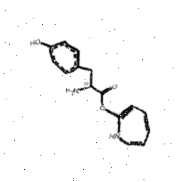 N[C@@H](Cc1ccc(O)cc1)C(=O)OC1=CC=CC=CN1